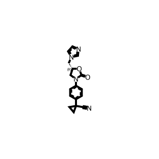 N#CC1(c2ccc(N3C[C@H](Cn4ccnc4)OC3=O)cc2)CC1